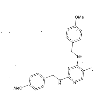 COc1ccc(CNc2ncc(I)c(NCc3ccc(OC)cc3)n2)cc1